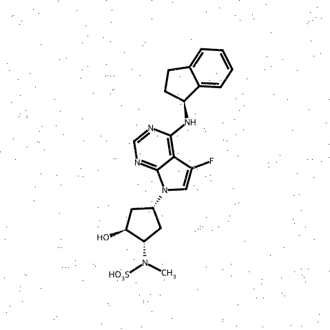 CN([C@H]1C[C@@H](n2cc(F)c3c(N[C@H]4CCc5ccccc54)ncnc32)C[C@@H]1O)S(=O)(=O)O